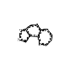 c1ccc2ccc3nncc3c2nc1